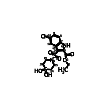 CCOC(=O)c1[nH]c2ccc(Cl)cc2c1S(=O)(=O)N1CCS(O)(O)CC1